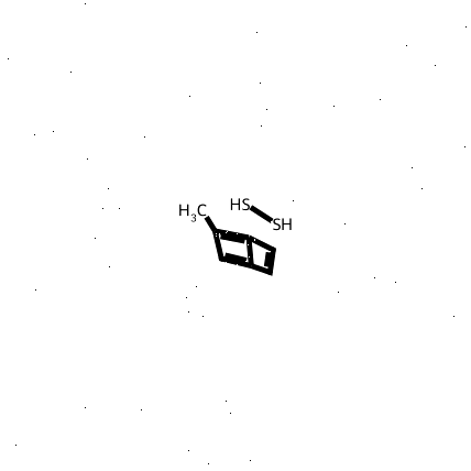 Cc1cc2ccc1-2.SS